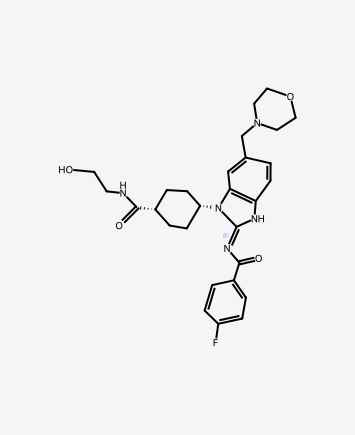 O=C(/N=c1\[nH]c2ccc(CN3CCOCC3)cc2n1[C@H]1CC[C@@H](C(=O)NCCO)CC1)c1ccc(F)cc1